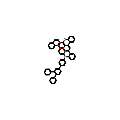 c1ccc(-c2ccc(-c3ccc(N(c4ccc(-c5cccc6ccccc56)cc4)c4ccccc4-c4cc5c6c(cccc6c4)Oc4ccccc4-5)cc3)cc2-c2ccccc2)cc1